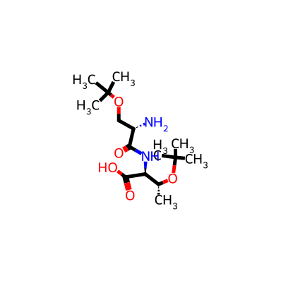 C[C@@H](OC(C)(C)C)[C@H](NC(=O)[C@@H](N)COC(C)(C)C)C(=O)O